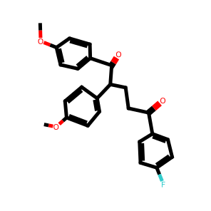 COc1ccc(C(=O)C(CCC(=O)c2ccc(F)cc2)c2ccc(OC)cc2)cc1